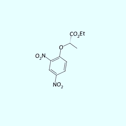 CCOC(=O)[C@H](C)Oc1ccc([N+](=O)[O-])cc1[N+](=O)[O-]